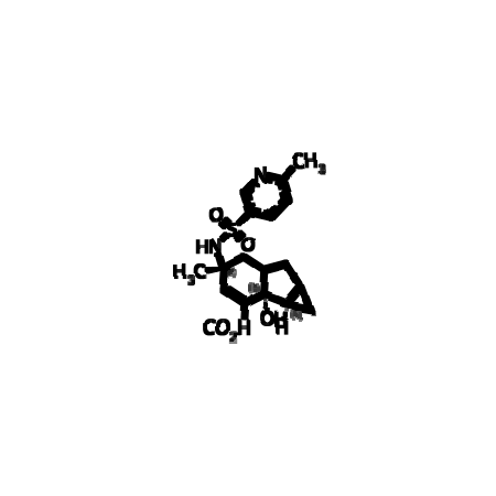 Cc1ccc(S(=O)(=O)N[C@@]2(C)C=C(C(=O)O)[C@@]3(O)C(CC4C[C@H]43)C2)cn1